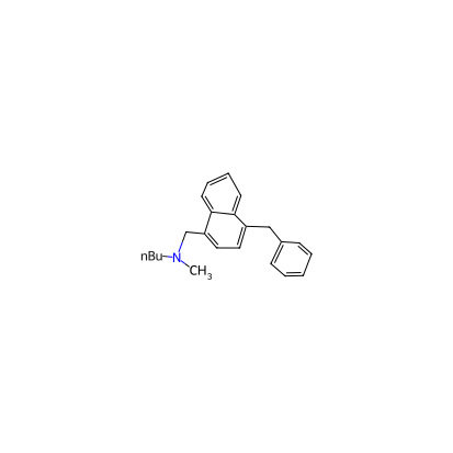 CCCCN(C)Cc1ccc(Cc2ccccc2)c2ccccc12